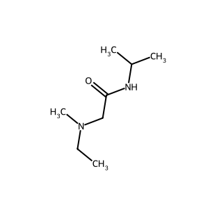 CCN(C)CC(=O)NC(C)C